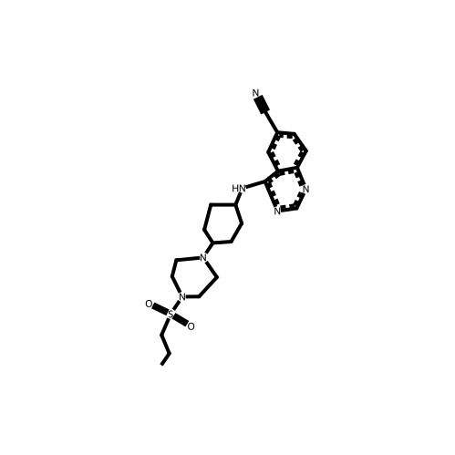 CCCS(=O)(=O)N1CCN(C2CCC(Nc3ncnc4ccc(C#N)cc34)CC2)CC1